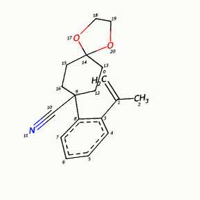 C=C(C)c1ccccc1C1(C#N)CCC2(CC1)OCCO2